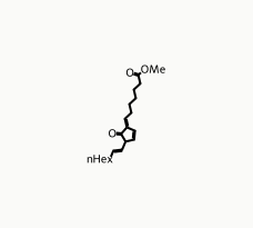 CCCCCCC=CC1C=CC(=CCCCCCC(=O)OC)C1=O